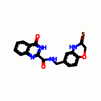 O=C(NCc1ccc2c(c1)NC(=S)CO2)c1nc2ccccc2c(=O)[nH]1